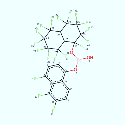 OB(Oc1ccc(F)c2c(F)c(F)ccc12)OC1(F)C2C(C(F)(F)C(F)(F)C(F)(F)C2(F)F)C(F)(F)C(F)(F)C1(F)F